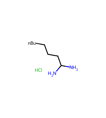 CCCCCCCC(N)N.Cl